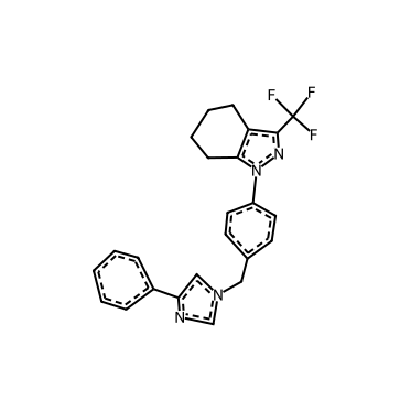 FC(F)(F)c1nn(-c2ccc(Cn3cnc(-c4ccccc4)c3)cc2)c2c1CCCC2